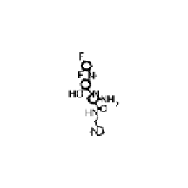 CN(c1ccc(O)c(-c2ccc(C(=O)NCCC3CCCN3C)c(N)n2)c1)c1ccc(F)cc1F